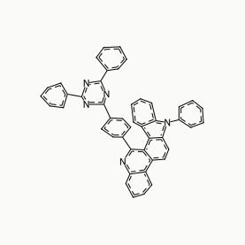 c1ccc(-c2nc(-c3ccccc3)nc(-c3ccc(-c4nc5ccccc5c5ccc6c(c7ccccc7n6-c6ccccc6)c45)cc3)n2)cc1